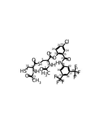 CC(=O)NC(CSC(=O)C(CS)NC(C)=O)C(=O)Oc1ccc(Cl)cc1C(=O)Nc1cc(C(F)(F)F)cc(C(F)(F)F)c1